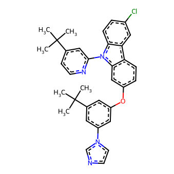 CC(C)(C)c1cc(Oc2ccc3c4cc(Cl)ccc4n(-c4cc(C(C)(C)C)ccn4)c3c2)cc(-n2ccnc2)c1